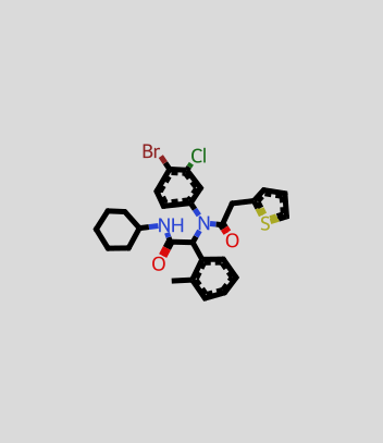 Cc1ccccc1C(C(=O)NC1CCCCC1)N(C(=O)Cc1cccs1)c1ccc(Br)c(Cl)c1